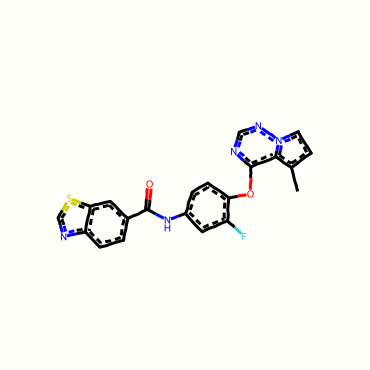 Cc1ccn2ncnc(Oc3ccc(NC(=O)c4ccc5ncsc5c4)cc3F)c12